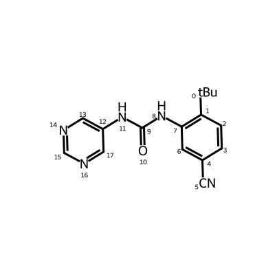 CC(C)(C)c1ccc(C#N)cc1NC(=O)Nc1cncnc1